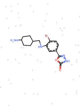 NC1CCC(CNc2cc(-c3n[nH]c(=O)o3)ccc2Br)CC1